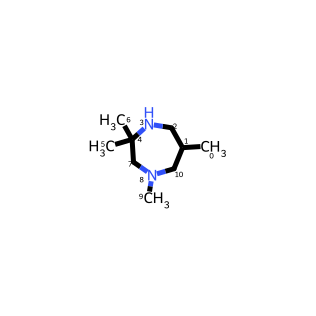 CC1CNC(C)(C)CN(C)C1